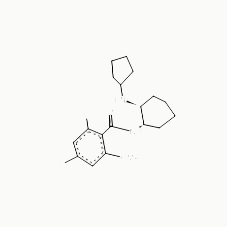 COc1cc(C(F)(F)F)cc(C(F)(F)F)c1C(=O)N[C@@H]1CCCC[C@@H]1NC1CCCC1